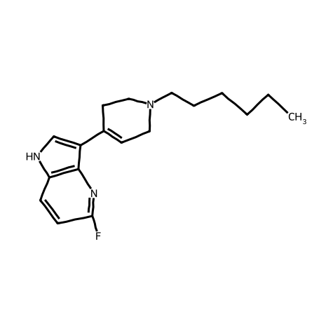 CCCCCCN1CC=C(c2c[nH]c3ccc(F)nc23)CC1